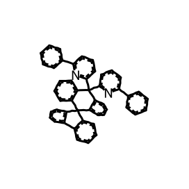 c1ccc(-c2cccc(C3(c4cccc(-c5ccccc5)n4)c4ccccc4C4(c5ccccc5-c5ccccc54)c4ccccc43)n2)cc1